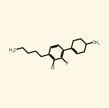 CCCCCc1ccc(C2=CCC(C)CC2)c(F)c1Cl